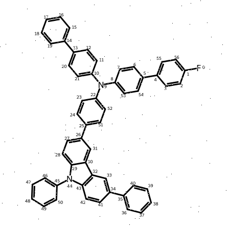 Fc1ccc(-c2ccc(N(c3ccc(-c4ccccc4)cc3)c3ccc(-c4ccc5c(c4)c4cc(-c6ccccc6)ccc4n5-c4ccccc4)cc3)cc2)cc1